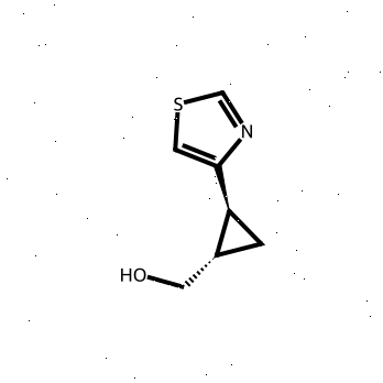 OC[C@H]1C[C@@H]1c1cscn1